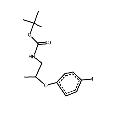 CC(CNC(=O)OC(C)(C)C)Oc1ccc(I)cc1